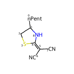 CCCCCC1CSC(=C(C#N)C#N)N1